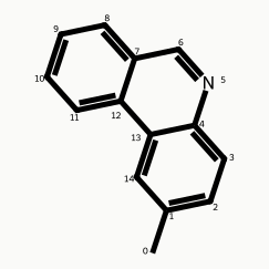 Cc1ccc2ncc3ccccc3c2c1